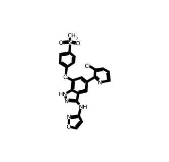 CS(=O)(=O)c1ccc(Oc2cc(-c3ncccc3Cl)cc3c(Nc4ccon4)n[nH]c23)cc1